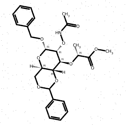 COC(=O)[C@@H](C)O[C@@H]1[C@@H](ONC(C)=O)[C@@H](OCc2ccccc2)O[C@@H]2COC(c3ccccc3)O[C@@H]12